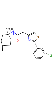 CC1CCC(NC(=O)Cc2csc(-c3cccc(Cl)c3)n2)(C(=O)O)CC1